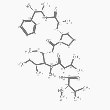 CC[C@H](C)C([C@@H](CC(=O)N1CCC[C@H]1C[C@@H](C)C(=O)N[C@H](C)[C@@H](O)c1ccccc1)OC)N(C)C(=O)[C@@H](NC(=O)[C@@H](NC)C(C)C)C(C)C